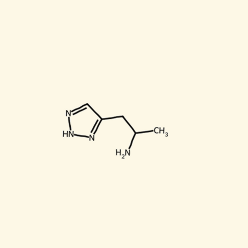 CC(N)Cc1cn[nH]n1